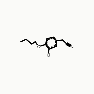 CCCCOc1ccc(CC#N)cc1Cl